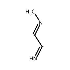 C/N=[C]/[C]=N